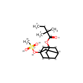 CCC(C)(C)C(=O)OC12CC3CC(C1)CC(OS(C)(=O)=O)(C3)C2